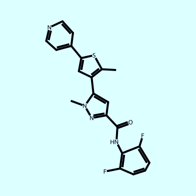 Cc1sc(-c2ccncc2)cc1-c1cc(C(=O)Nc2c(F)cccc2F)nn1C